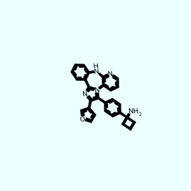 NC1(c2ccc(-c3c(-c4ccoc4)nc4n3-c3cccnc3Nc3ccccc3-4)cc2)CCC1